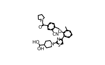 Cc1cccc(-c2csc(N3CCC(C(O)O)CC3)n2)c1OCc1ccc(C(=O)N2CCCC2)cc1C#N